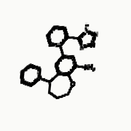 Nc1cc(-c2ccccc2-c2nnn[nH]2)cc2c1OCCCC2c1ccccc1